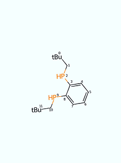 CC(C)(C)CPc1ccccc1PCC(C)(C)C